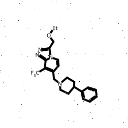 CCOCc1nnc2c(C(F)(F)F)c(CN3CCC(c4ccccc4)CC3)ccn12